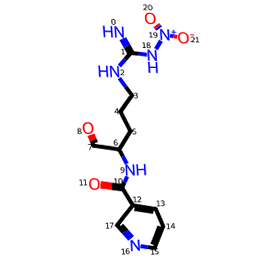 N=C(NCCCC(C=O)NC(=O)c1cccnc1)N[N+](=O)[O-]